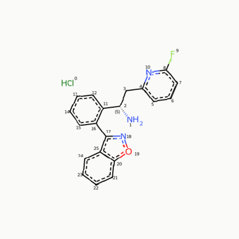 Cl.N[C@@H](Cc1cccc(F)n1)c1ccccc1-c1noc2ccccc12